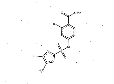 COC(=O)c1ccc(NS(=O)(=O)c2cc(C)c(Cl)s2)cc1O